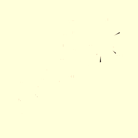 C#CCOC[C@H]1OC(OP(=O)(O)OP(=O)(O)OC[C@H]2O[C@@H](n3ccc(=O)[nH]c3=O)C(O)[C@H]2O)[C@H](O)[C@@H](O)[C@H]1O